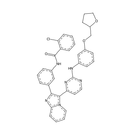 O=C(Nc1cccc(-c2nc3ccccn3c2-c2ccnc(Nc3cccc(OCC4CCCO4)c3)n2)c1)c1ccccc1Cl